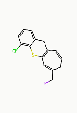 Clc1cccc2c1SC1=C(C=CCC(CI)=C1)C2